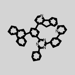 c1ccc(-c2nc(-c3cccc(-c4ccccn4)c3)nc(-c3cc(-c4ccnc5c4Cc4ccccc4-5)cc(-c4cc5ccccc5c5ccccc45)c3)n2)cc1